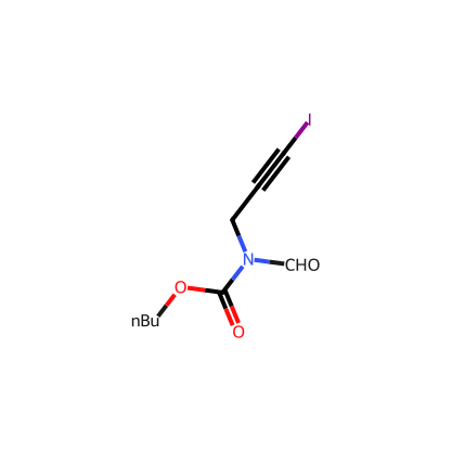 CCCCOC(=O)N(C=O)CC#CI